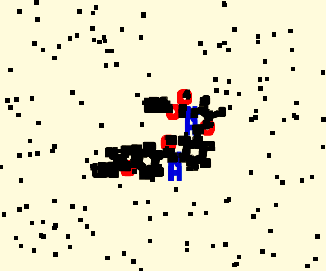 C[C@@H](NC(=O)OC(C)(C)C)[C@@H](C)OCc1cccc(NC(=O)c2ccc(O[Si](C)(C)C(C)(C)C)cc2)c1